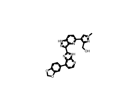 Cn1cc(-c2ccc3[nH]nc(-c4nc5c(-c6ccc7c(c6)OCO7)ccnc5[nH]4)c3n2)c(CO)n1